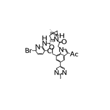 CC(=O)c1cn(CC(=O)N2[C@H](C(=O)Nc3nc(Br)ccc3Cl)C[C@@]3(C)C[C@@H]23)c2c(C)cc(-c3cnc(C)nc3)cc12